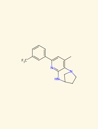 Cc1cc(-c2cccc(C(F)(F)F)c2)nc2c1N1CCC(C1)N2